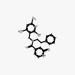 Cc1cc(C)c(CN(CCc2ccccc2)C(=O)c2cc[nH]c(=O)c2)c(O)n1